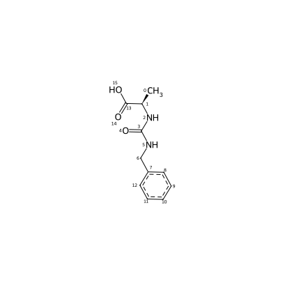 C[C@@H](NC(=O)NCc1ccccc1)C(=O)O